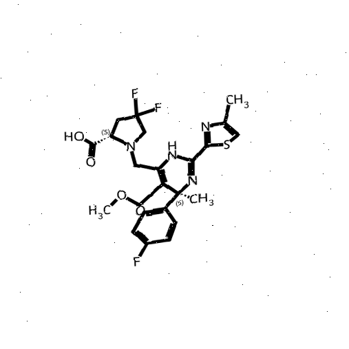 COC(=O)C1=C(CN2CC(F)(F)C[C@H]2C(=O)O)NC(c2nc(C)cs2)=N[C@@]1(C)c1ccc(F)cc1